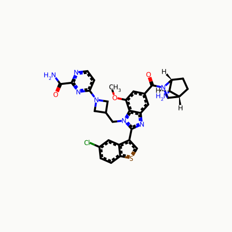 COc1cc(C(=O)N2C[C@H]3CC[C@@H]2[C@@H]3N)cc2nc(-c3csc4ccc(Cl)cc34)n(CC3CN(c4ccnc(C(N)=O)n4)C3)c12